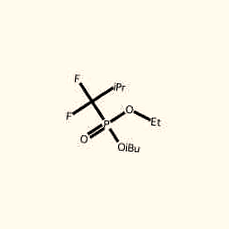 CCOP(=O)(OCC(C)C)C(F)(F)C(C)C